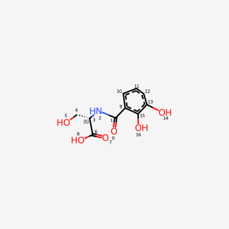 O=C(N[C@@H](CO)C(=O)O)c1cccc(O)c1O